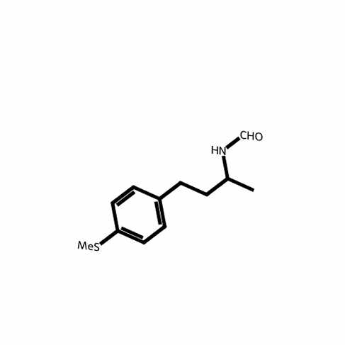 CSc1ccc(CCC(C)NC=O)cc1